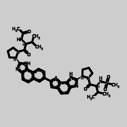 CC(=O)N[C@H](C(=O)N1CCC[C@H]1c1nc2ccc3cc(-c4cc5ccc6nc([C@@H]7CCCN7C(=O)[C@@H](NS(C)(=O)=O)C(C)C)[nH]c6c5s4)ccc3c2[nH]1)C(C)C